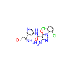 COCC[C@@H](N)c1cncc(NC(=O)c2c(N)ncn(-c3c(Cl)cccc3Cl)c2=O)c1